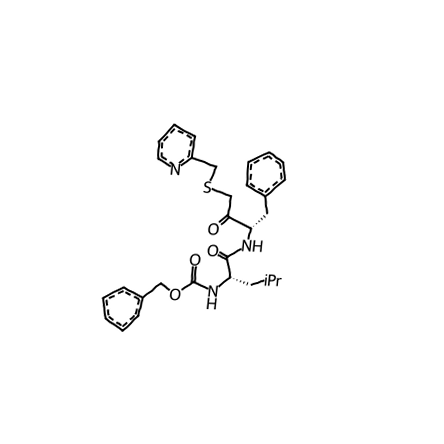 CC(C)C[C@H](NC(=O)OCc1ccccc1)C(=O)N[C@@H](Cc1ccccc1)C(=O)CSCc1ccccn1